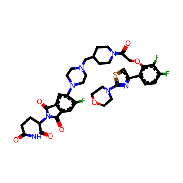 O=C1CCC(N2C(=O)c3cc(F)c(N4CCN(CC5CCN(C(=O)COc6c(-c7csc(N8CCOCC8)n7)ccc(F)c6F)CC5)CC4)cc3C2=O)C(=O)N1